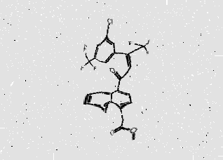 COC(=O)c1ccc(C(=O)/C=C(\c2cc(Cl)cc(C(F)(F)F)c2)C(F)(F)F)c2ccccc12